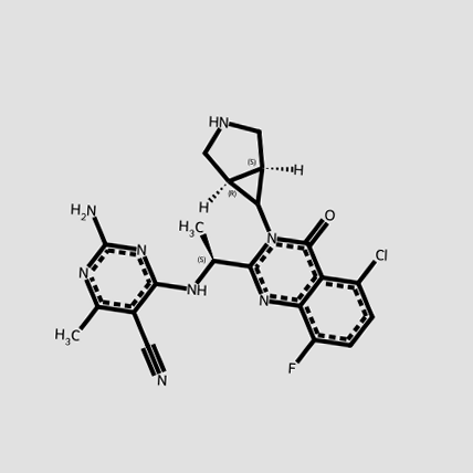 Cc1nc(N)nc(N[C@@H](C)c2nc3c(F)ccc(Cl)c3c(=O)n2C2[C@H]3CNC[C@@H]23)c1C#N